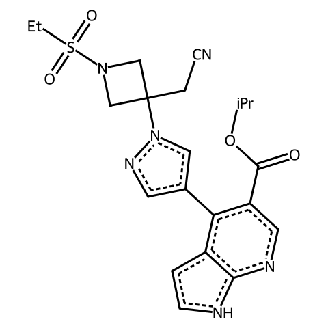 CCS(=O)(=O)N1CC(CC#N)(n2cc(-c3c(C(=O)OC(C)C)cnc4[nH]ccc34)cn2)C1